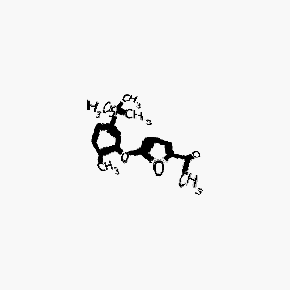 CC(=O)c1ccc(Oc2cc([Si](C)(C)C)ccc2C)o1